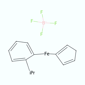 CC(C)c1cccc[c]1[Fe][C]1=CCC=C1.F[B-](F)(F)F